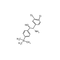 C[Si](C)(C)c1ccc([C@@H](O)[C@@H](N)c2ccc(Cl)c(Cl)c2)cc1